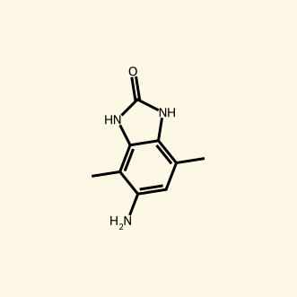 Cc1cc(N)c(C)c2[nH]c(=O)[nH]c12